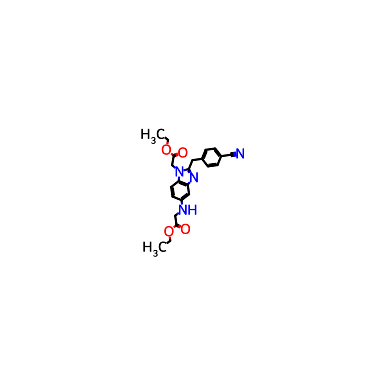 CCOC(=O)CNc1ccc2c(c1)nc(Cc1ccc(C#N)cc1)n2CC(=O)OCC